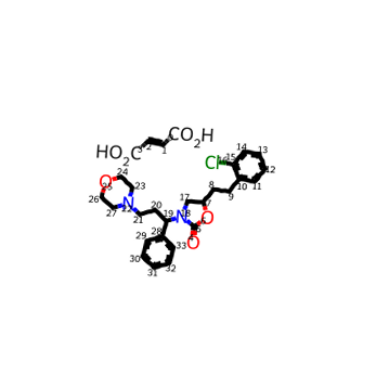 O=C(O)C=CC(=O)O.O=C1OC(CCc2ccccc2Cl)CN1C(CCN1CCOCC1)c1ccccc1